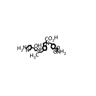 CC(Cc1ccc2c(c1)cc(C(=O)O)n2Cc1ccc(S(N)(=O)=O)cc1)NCC(O)c1ccc(N)nc1